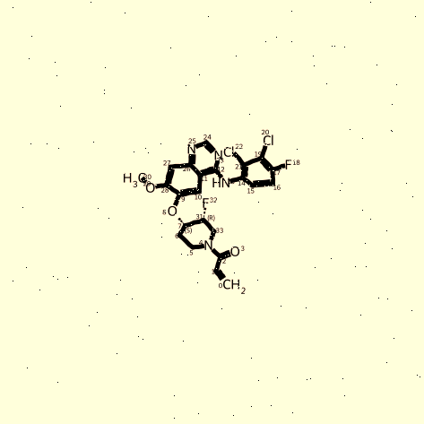 C=CC(=O)N1CC[C@H](Oc2cc3c(Nc4ccc(F)c(Cl)c4Cl)ncnc3cc2OC)[C@H](F)C1